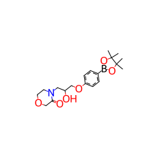 CC1(C)OB(c2ccc(OCC(O)CN3CCOCC3=O)cc2)OC1(C)C